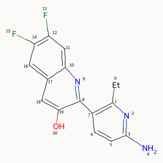 CCc1nc(N)ccc1-c1nc2cc(F)c(F)cc2cc1O